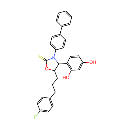 Oc1ccc(C2C(CCCc3ccc(F)cc3)OC(=S)N2c2ccc(-c3ccccc3)cc2)c(O)c1